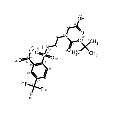 CC(C)(C)OC(=O)N(CCNS(=O)(=O)c1ccc(C(F)(F)F)cc1[N+](=O)[O-])CC(=O)O